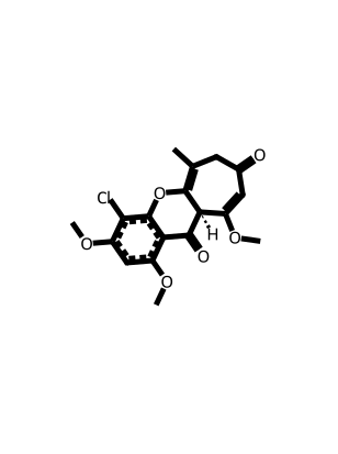 COC1=CC(=O)CC(C)=C2Oc3c(Cl)c(OC)cc(OC)c3C(=O)[C@H]12